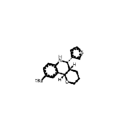 CC(C)(C)c1ccc2c(c1)[C@H]1OCCC[C@H]1[C@@H](c1ccsc1)N2